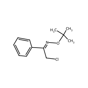 CC(C)(C)ON=C(CCl)c1ccccc1